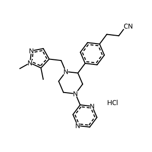 Cc1c(CN2CCN(c3cnccn3)CC2c2ccc(CCC#N)cc2)cnn1C.Cl